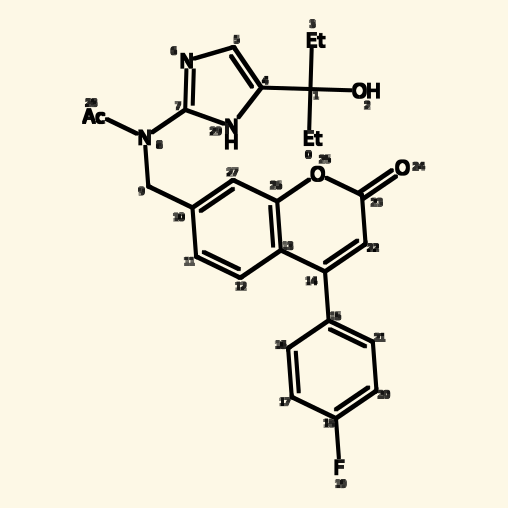 CCC(O)(CC)c1cnc(N(Cc2ccc3c(-c4ccc(F)cc4)cc(=O)oc3c2)C(C)=O)[nH]1